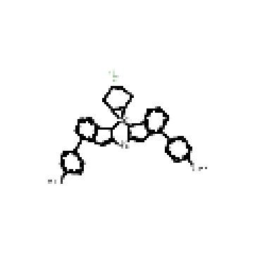 CCCCC1=Cc2c(-c3ccc(OC)cc3)cccc2[CH]1[Zr+2]1([CH]2C(CCCC)=Cc3c(-c4ccc(OC)cc4)cccc32)[CH]2CCCC[CH]21.[Cl-].[Cl-]